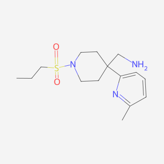 CCCS(=O)(=O)N1CCC(CN)(c2cccc(C)n2)CC1